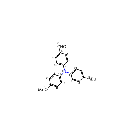 CCCCc1ccc(N(c2ccc(C=O)cc2)c2ccc(OC)cc2)cc1